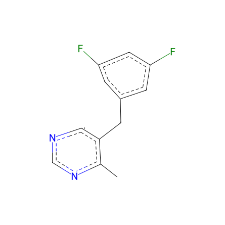 Cc1ncn[c]c1Cc1cc(F)cc(F)c1